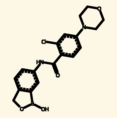 O=C(Nc1ccc2c(c1)B(O)OC2)c1ccc(N2CCOCC2)cc1Cl